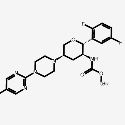 CC(C)(C)OC(=O)N[C@H]1C[C@@H](N2CCN(c3ncc(I)cn3)CC2)CO[C@@H]1c1cc(F)ccc1F